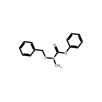 CN(OCc1ccccc1)C(=O)Oc1ccccc1